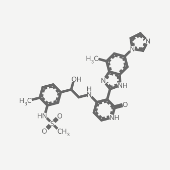 Cc1ccc(C(O)CNc2cc[nH]c(=O)c2-c2nc3c(C)cc(-n4ccnc4)cc3[nH]2)cc1NS(C)(=O)=O